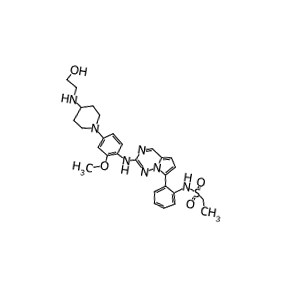 CCS(=O)(=O)Nc1ccccc1-c1ccc2cnc(Nc3ccc(N4CCC(NCCO)CC4)cc3OC)nn12